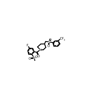 CS(=O)(=O)c1ccc(F)cc1C(=O)N1CCC(CS(=O)(=O)c2cccc(C(F)(F)F)c2)CC1